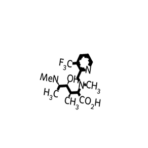 CN[C@@H](C)[C@H](O)[C@H](C)C(C(=O)O)N(C)Cc1ncccc1C(F)(F)F